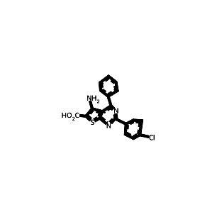 Nc1c(C(=O)O)sc2nc(-c3ccc(Cl)cc3)nc(-c3ccccc3)c12